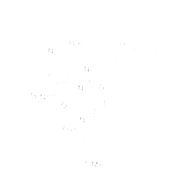 COCCC(=O)N1C[C@@H](F)[C@@H](N2C(=O)N(c3ccc(Oc4ccccc4)cc3C)c3ccnc4sc(C(N)=O)c2c34)C1